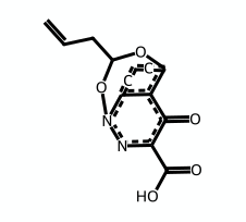 C=CCC1Oc2cccc3c2c(=O)c(C(=O)O)nn3O1